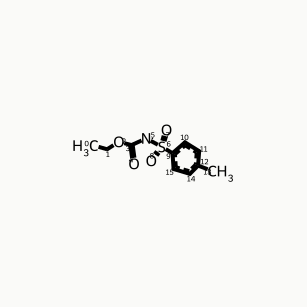 CCOC(=O)[N]S(=O)(=O)c1ccc(C)cc1